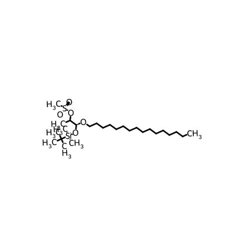 CCCCCCCCCCCCCCCCO[C@@H](O[Si](C)(C)C(C)(C)C)C(C)OS(C)(=O)=O